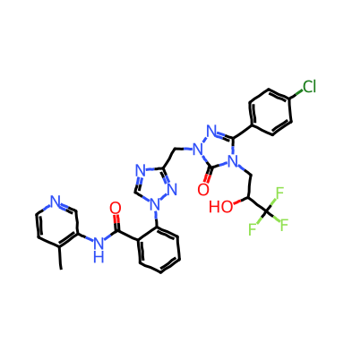 Cc1ccncc1NC(=O)c1ccccc1-n1cnc(Cn2nc(-c3ccc(Cl)cc3)n(CC(O)C(F)(F)F)c2=O)n1